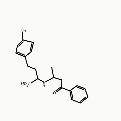 CC(CC(=O)c1ccccc1)NC(CCc1ccc(O)cc1)C(=O)O